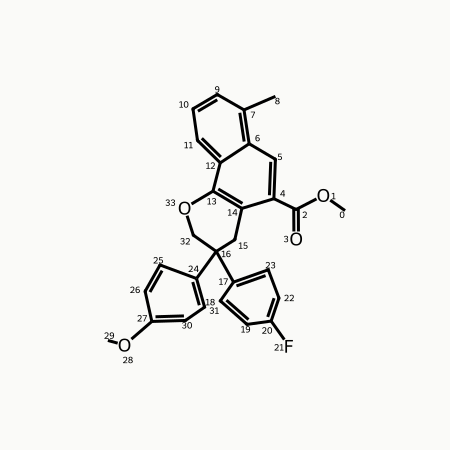 COC(=O)c1cc2c(C)cccc2c2c1CC(c1ccc(F)cc1)(c1ccc(OC)cc1)CO2